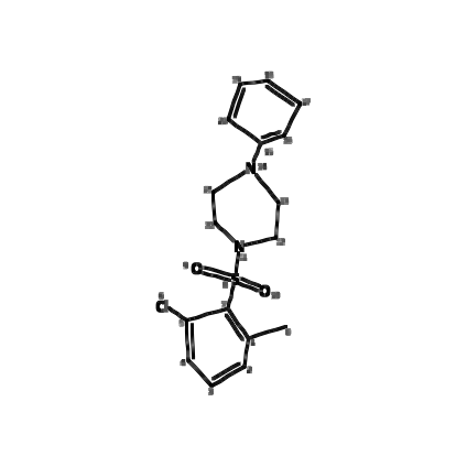 Cc1cccc(Cl)c1S(=O)(=O)N1CCN(c2ccccc2)CC1